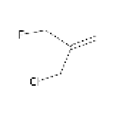 C=C(CF)CCl